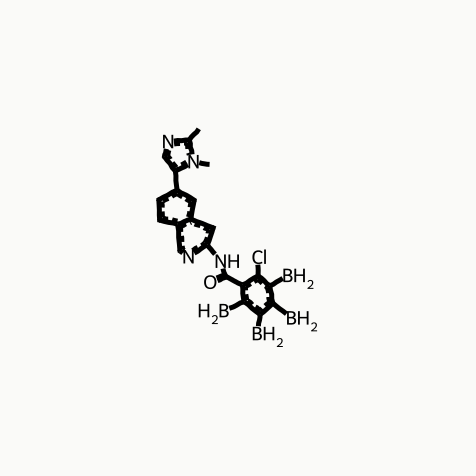 Bc1c(B)c(B)c(C(=O)Nc2cc3cc(-c4cnc(C)n4C)ccc3cn2)c(Cl)c1B